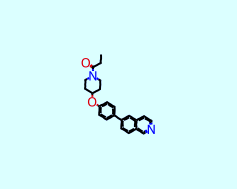 CCC(=O)N1CCC(Oc2ccc(-c3ccc4cnccc4c3)cc2)CC1